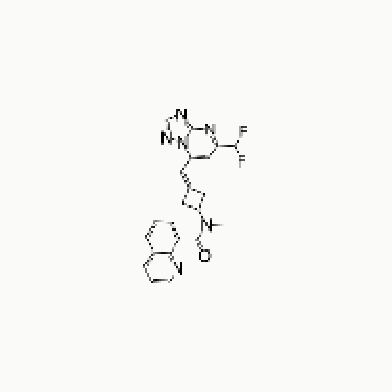 CN(C(=O)c1cccc2cccnc12)C1CC(=Cc2cc(C(F)F)nc3ncnn23)C1